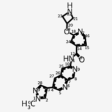 Cn1cc(-c2cnc3cnc(NC(=O)c4ccnc(OC5CNC5)c4)cc3c2)cn1